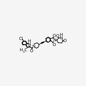 Cc1c(C(=O)N2CCC(C#Cc3ccc4c(c3)C(=O)N(C3CCC(=O)NC3=O)C4=O)CC2)[nH]c2cc(Cl)ccc12